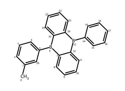 Cc1cccc(B2c3ccccc3B(c3ccccc3)c3ccccc32)c1